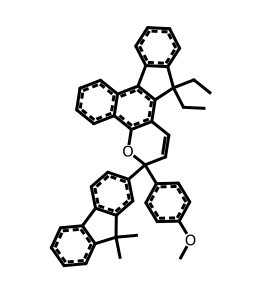 CCC1(CC)c2ccccc2-c2c1c1c(c3ccccc23)OC(c2ccc(OC)cc2)(c2ccc3c(c2)C(C)(C)c2ccccc2-3)C=C1